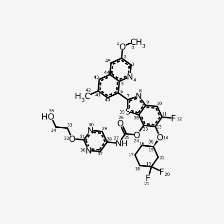 COc1cnc2c(-c3nc4cc(F)c(O[C@@H]5CCCC(F)(F)C5)c(OC(=O)Nc5cnc(OCCO)nc5)c4s3)cc(C)cc2c1